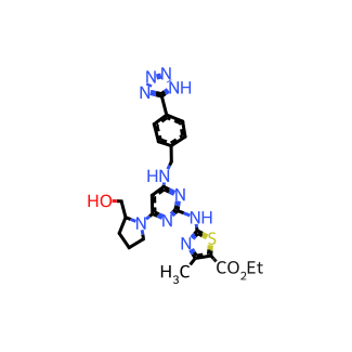 CCOC(=O)c1sc(Nc2nc(NCc3ccc(-c4nnn[nH]4)cc3)cc(N3CCCC3CO)n2)nc1C